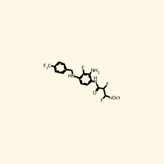 CCCCCCCCC(F)C(F)C(=O)Nc1ccc(NCc2ccc(C(F)(F)F)cc2)c(F)c1N